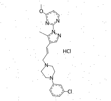 COc1ccnc(-n2ncc(/C=C/CN3CCN(c4cccc(Cl)c4)CC3)c2C)n1.Cl